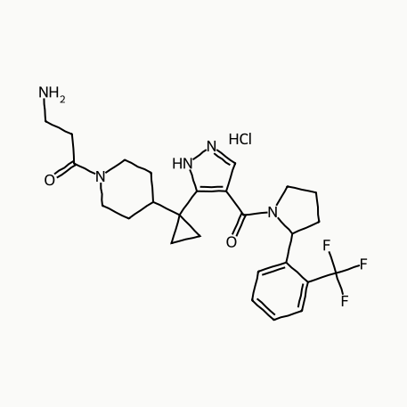 Cl.NCCC(=O)N1CCC(C2(c3[nH]ncc3C(=O)N3CCCC3c3ccccc3C(F)(F)F)CC2)CC1